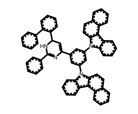 C1=C(c2cc(-n3c4ccccc4c4c5ccccc5ccc43)cc(-n3c4ccccc4c4c5ccccc5ccc43)c2)N=C(c2ccccc2)NC1c1ccccc1-c1ccccc1